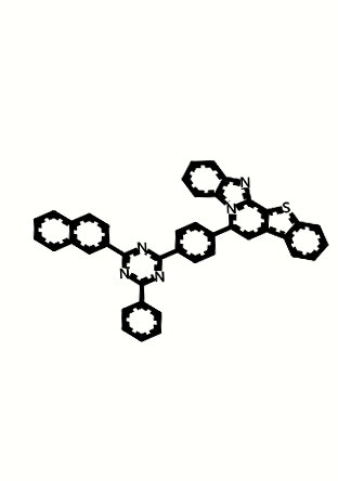 c1ccc(-c2nc(-c3ccc(-c4cc5c6ccccc6sc5c5nc6ccccc6n45)cc3)nc(-c3ccc4ccccc4c3)n2)cc1